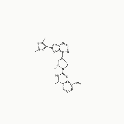 COc1cccc(C(C)NC(=O)N2CCN(c3ncnc4cc(-c5cn(C)nc5C)sc34)C[C@H]2C)c1